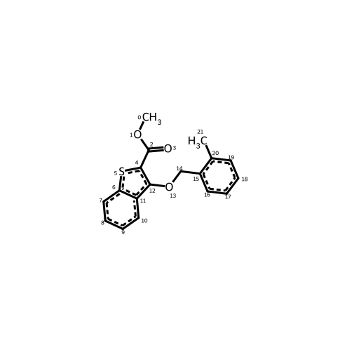 COC(=O)c1sc2ccccc2c1OCc1ccccc1C